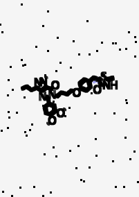 C=c1[nH]c(=O)/c(=C\c2ccc(OCCCCn3c(-c4ccc(OC)c(OC)c4)nc4c(CCC)nn(C)c4c3=O)cc2)s1